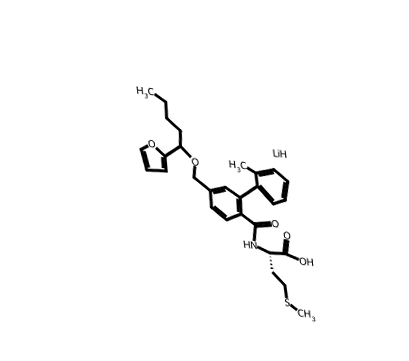 CCCCC(OCc1ccc(C(=O)N[C@@H](CCSC)C(=O)O)c(-c2ccccc2C)c1)c1ccco1.[LiH]